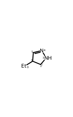 CCC1[C]NN=[C]1